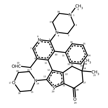 CN1CCN(c2ncc(CC=O)c(-c3c(N4CCOCC4)sc4c3CC(C)(C)CC4=O)c2-c2ccccc2)CC1